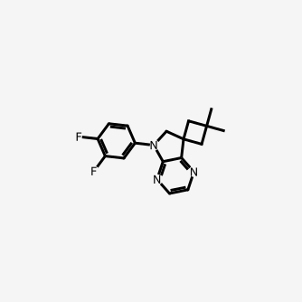 CC1(C)CC2(CN(c3ccc(F)c(F)c3)c3nccnc32)C1